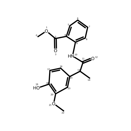 COC(=O)c1ccccc1NC(=O)C(C)c1ccc(O)c(OC)c1